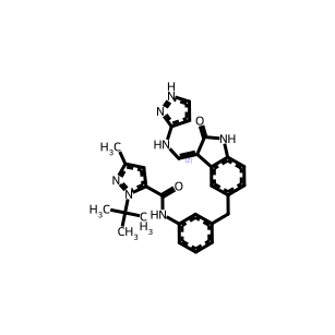 Cc1cc(C(=O)Nc2cccc(Cc3ccc4c(c3)/C(=C/Nc3cc[nH]n3)C(=O)N4)c2)n(C(C)(C)C)n1